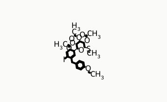 CCOc1ccc(CC2=CC([C@@H]3O[C@H](SC)[C@@H](OC(C)=O)[C@H](OC(C)=O)[C@H]3OC(C)=O)CC=C2I)cc1